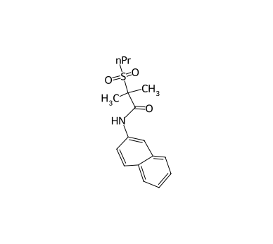 CCCS(=O)(=O)C(C)(C)C(=O)Nc1ccc2ccccc2c1